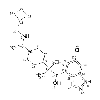 CC(C)(C1CCN(C(=O)NCC2CCC2)CC1)C(O)c1cc(Cl)cc2[nH]ncc12